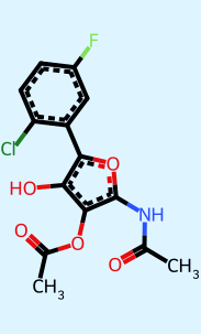 CC(=O)Nc1oc(-c2cc(F)ccc2Cl)c(O)c1OC(C)=O